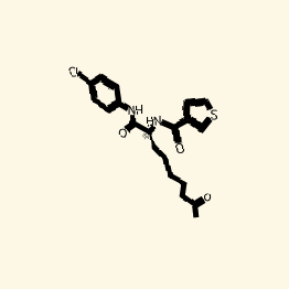 CC(=O)CCCCC[C@H](NC(=O)c1ccsc1)C(=O)Nc1ccc(Cl)cc1